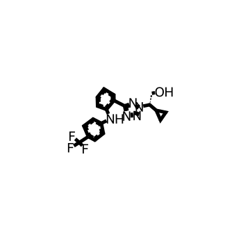 OC[C@H](C1CC1)n1nnc(-c2ccccc2Nc2ccc(C(F)(F)F)cc2)n1